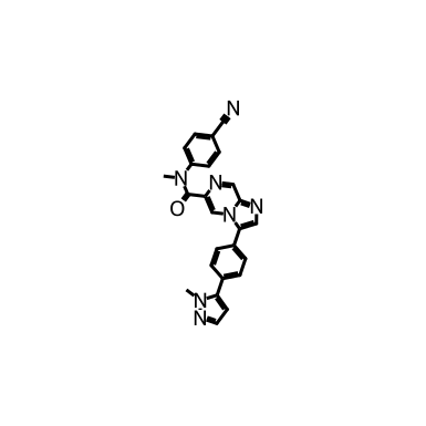 CN(C(=O)c1cn2c(-c3ccc(-c4ccnn4C)cc3)cnc2cn1)c1ccc(C#N)cc1